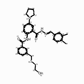 Cc1ccc(/C=N/NC(=O)c2cc(N3CCCC3)ccc2NC(=O)c2cccc(CSCCO)c2)cc1C